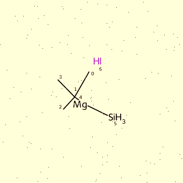 C[C](C)(C)[Mg][SiH3].I